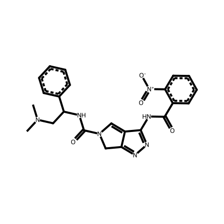 CN(C)CC(NC(=O)N1C=C2C(=NN=C2NC(=O)c2ccccc2[N+](=O)[O-])C1)c1ccccc1